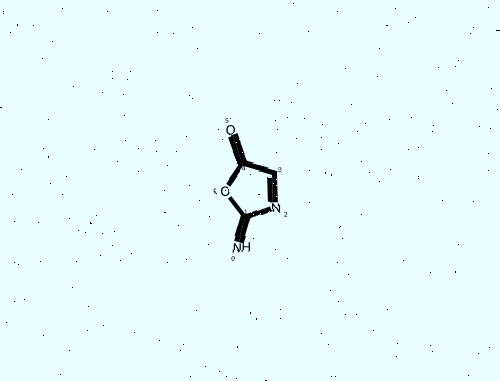 N=C1N=CC(=O)O1